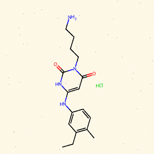 CCc1cc(Nc2cc(=O)n(CCCCN)c(=O)[nH]2)ccc1C.Cl